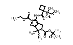 CCOC(=O)n1nc2c(c1NC(=O)C1([Si](C)(C)CC)CCC1)CN(C(=O)OC(C)(C)C)C2(C)C